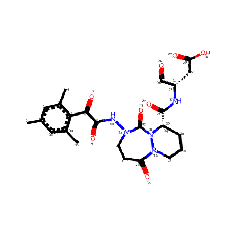 Cc1cc(C)c(C(=O)C(=O)NN2CCC(=O)N3CCC[C@@H](C(=O)N[C@H](C=O)CC(=O)O)N3C2=O)c(C)c1